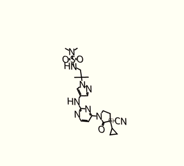 CN(C)S(=O)(=O)NCC(C)(C)n1cc(Nc2nccc(N3CC[C@@](C#N)(C4CC4)C3=O)n2)cn1